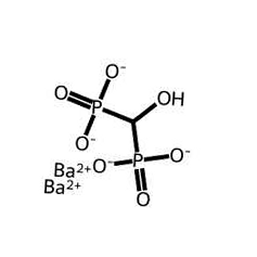 O=P([O-])([O-])C(O)P(=O)([O-])[O-].[Ba+2].[Ba+2]